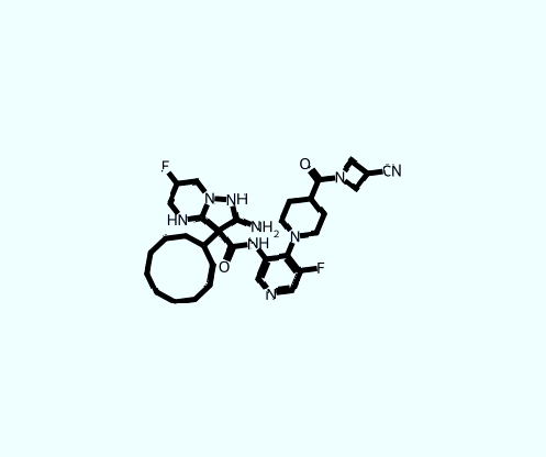 N#CC1CN(C(=O)C2CCN(c3c(F)cncc3NC(=O)C3(C4CCCCCCCCC4)C(N)NN4CC(F)CNC43)CC2)C1